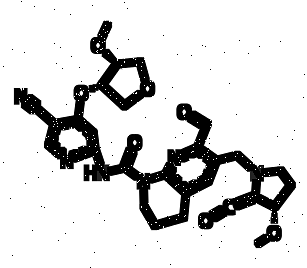 CO[C@H]1CCN(Cc2cc3c(nc2C=O)N(C(=O)Nc2cc(O[C@H]4COC[C@@H]4OC)c(C#N)cn2)CCC3)C1=C=O